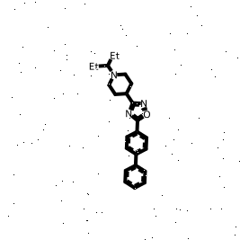 CCC(CC)N1CCC(c2noc(-c3ccc(-c4ccccc4)cc3)n2)CC1